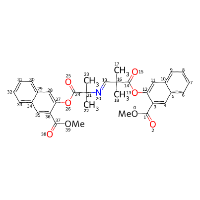 COC(=O)c1cc2ccccc2cc1OC(=O)C(C)(C)C=NC(C)(C)C(=O)Oc1cc2ccccc2cc1C(=O)OC